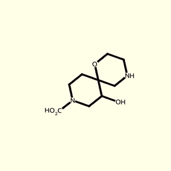 O=C(O)N1CCC2(CNCCO2)C(O)C1